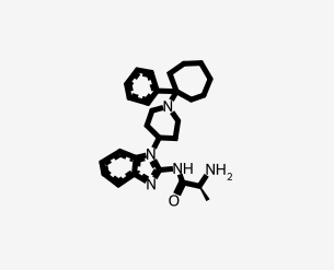 C[C@H](N)C(=O)Nc1nc2ccccc2n1C1CCN(C2(c3ccccc3)CCCCCC2)CC1